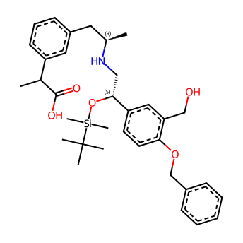 CC(C(=O)O)c1cccc(C[C@@H](C)NC[C@@H](O[Si](C)(C)C(C)(C)C)c2ccc(OCc3ccccc3)c(CO)c2)c1